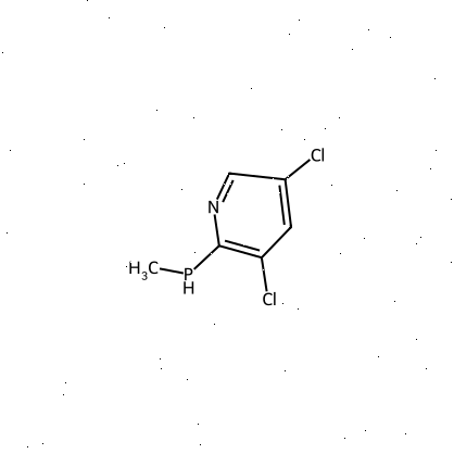 CPc1ncc(Cl)cc1Cl